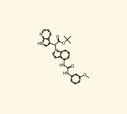 COc1cccc(NC(=O)Nc2cccc3c2ccn3C(C(=O)OC(C)(C)C)c2c[nH]c3ncccc23)c1